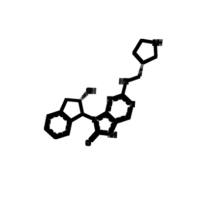 O=c1[nH]c2cnc(NC[C@@H]3CCNC3)nc2n1C1c2ccccc2C[C@@H]1O